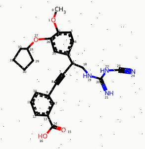 COc1ccc(C(C#Cc2cccc(C(=O)O)c2)CNC(=N)NC#N)cc1OC1CCCC1